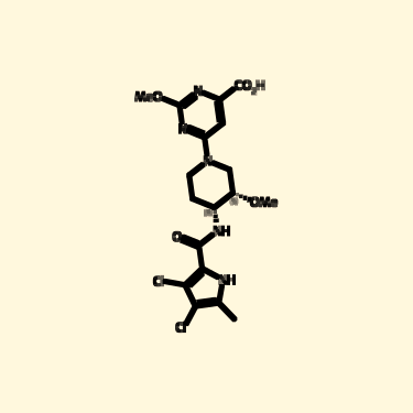 COc1nc(C(=O)O)cc(N2CC[C@@H](NC(=O)c3[nH]c(C)c(Cl)c3Cl)[C@@H](OC)C2)n1